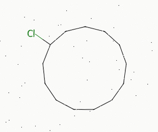 ClC1CCCCCCCCCCCC1